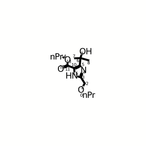 CCCOCc1nc(C(C)(C)O)c(C(=O)OCCC)[nH]1